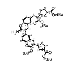 CC(C)(C)OC(=O)[C@@H](Cc1cccc(CN(C(N)=O)c2cccc(C[C@H](C(=O)OC(C)(C)C)[C@H]3CCN(C(=O)OC(C)(C)C)C3)c2)c1)[C@H]1CCN(C(=O)OC(C)(C)C)C1